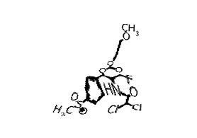 COCCOC(=O)OC(c1ccc(S(C)(=O)=O)cc1)C(CF)NC(=O)C(Cl)Cl